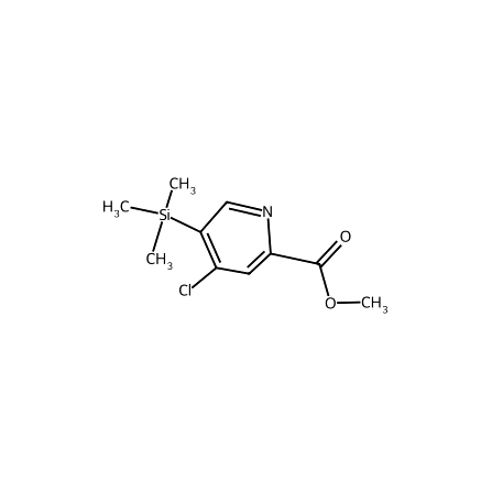 COC(=O)c1cc(Cl)c([Si](C)(C)C)cn1